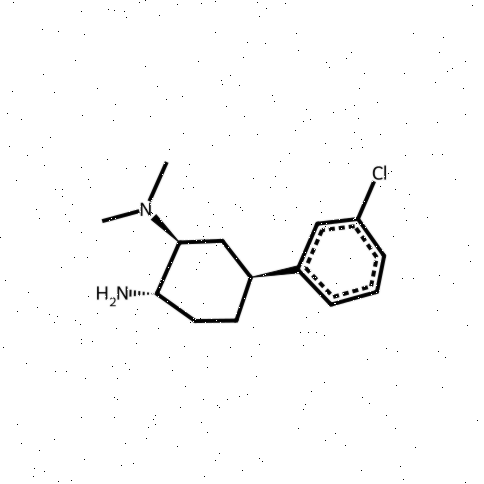 CN(C)[C@H]1C[C@@H](c2cccc(Cl)c2)CC[C@@H]1N